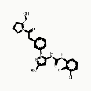 CC(C)(C)c1cc(NC(=O)Nc2cccc(Cl)c2Cl)n(-c2cccc(CC(=O)N3CCC[C@@H]3CO)c2)n1